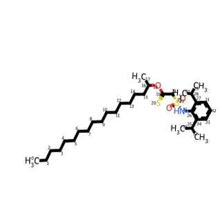 CCCCCCCCCCCCCCCCC(C)OC(=S)CS(=O)(=O)Nc1c(C(C)C)cccc1C(C)C